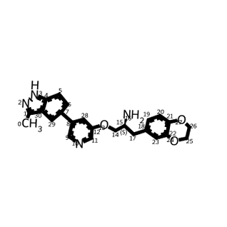 Cc1n[nH]c2ccc(-c3cncc(OC[C@@H](N)Cc4ccc5c(c4)OCCO5)c3)cc12